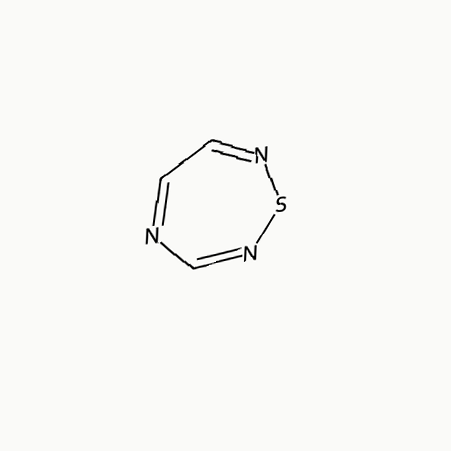 C1=NC=NSN=C1